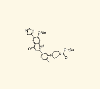 COc1cc2[nH]c(-c3ccc(C)c(N4CCN(C(=O)OC(C)(C)C)CC4)c3)cc(=O)c2cc1-c1cnco1